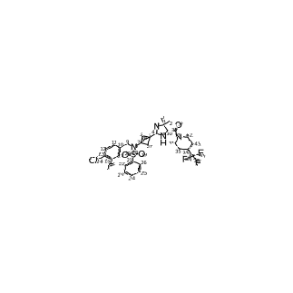 CC1(C)N=C(C23CC(N(Cc4ccc(Cl)c(F)c4)S(=O)(=O)c4ccccc4)(C2)C3)N[C@H]1C(=O)N1CCC(C(F)(F)F)CC1